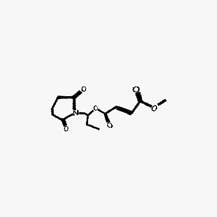 CCC(OC(=O)C=CC(=O)OC)N1C(=O)CCC1=O